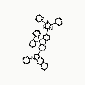 c1ccc(-c2nc(-c3ccccc3)nc(-c3ccc4c(c3)C3(c5ccccc5-c5ccccc53)c3cc(-c5cn(-c6ccccc6)c6cc7ccccc7cc56)ccc3-4)n2)cc1